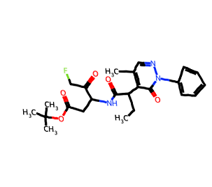 CCC(C(=O)NC(CC(=O)OC(C)(C)C)C(=O)CF)c1c(C)cnn(-c2ccccc2)c1=O